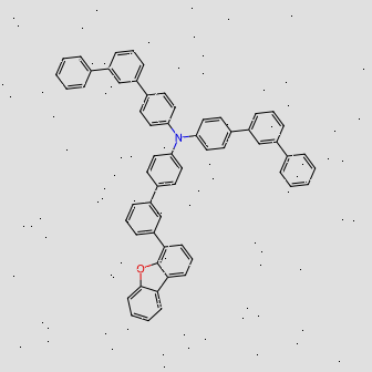 c1ccc(-c2cccc(-c3ccc(N(c4ccc(-c5cccc(-c6ccccc6)c5)cc4)c4ccc(-c5cccc(-c6cccc7c6oc6ccccc67)c5)cc4)cc3)c2)cc1